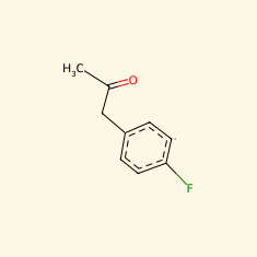 CC(=O)Cc1c[c]c(F)cc1